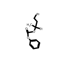 CCC(C)(CCC(C)C)OC(=O)Oc1ccccc1